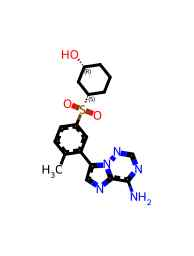 Cc1ccc(S(=O)(=O)[C@H]2CCC[C@@H](O)C2)cc1-c1cnc2c(N)ncnn12